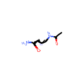 CC(=O)N/C=C/C(N)=O